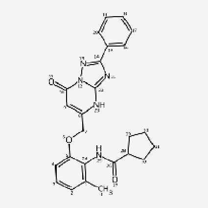 Cc1cccc(OCc2cc(=O)n3nc(-c4ccccc4)nc3[nH]2)c1NC(=O)C1CCCC1